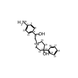 Nc1ccc(C(O)CN2CCC(O)(c3ccccc3)CC2)cc1